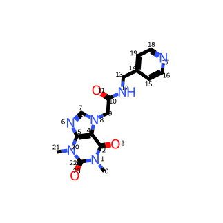 Cn1c(=O)c2c(ncn2CC(=O)NCc2ccncc2)n(C)c1=O